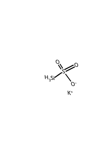 O=S(=O)([O-])[SiH3].[K+]